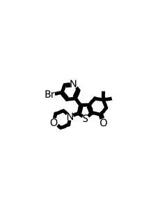 CC1(C)CC(=O)c2sc(N3CCOCC3)c(-c3cncc(Br)c3)c2C1